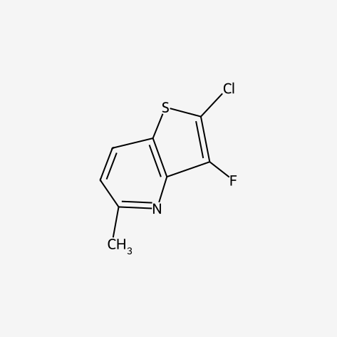 Cc1ccc2sc(Cl)c(F)c2n1